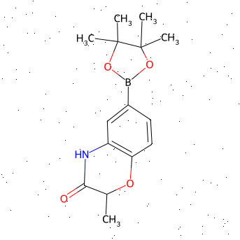 CC1Oc2ccc(B3OC(C)(C)C(C)(C)O3)cc2NC1=O